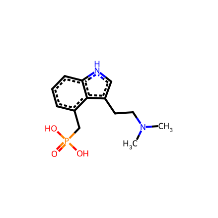 CN(C)CCc1c[nH]c2cccc(CP(=O)(O)O)c12